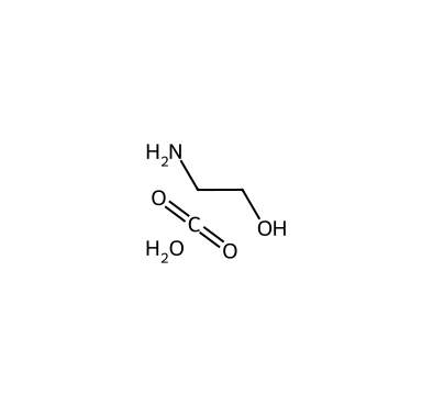 NCCO.O.O=C=O